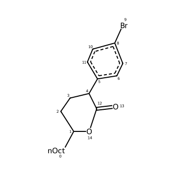 CCCCCCCCC1CCC(c2ccc(Br)cc2)C(=O)O1